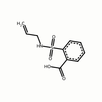 C=CCNS(=O)(=O)c1ccccc1C(=O)O